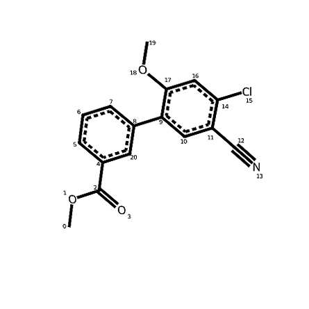 COC(=O)c1cccc(-c2cc(C#N)c(Cl)cc2OC)c1